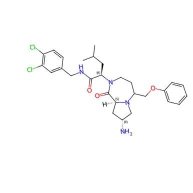 CC(C)C[C@H](C(=O)NCc1ccc(Cl)c(Cl)c1)N1CCC(COc2ccccc2)N2C[C@H](N)C[C@H]2C1=O